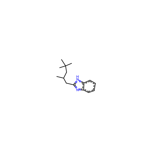 CC(Cc1nc2ccccc2[nH]1)CC(C)(C)C